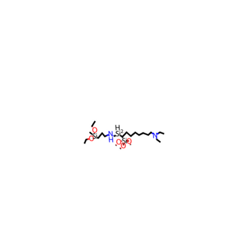 CCO[Si](C)(CCCNC[SiH2]C(CCCCCCCN(CC)CC)[Si](OC)(OC)OC)OCC